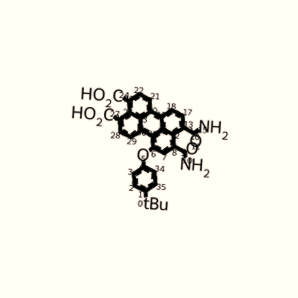 CC(C)(C)c1ccc(Oc2cc(C(N)=O)c3c(C(N)=O)ccc4c5ccc(C(=O)O)c6c(C(=O)O)ccc(c2c34)c65)cc1